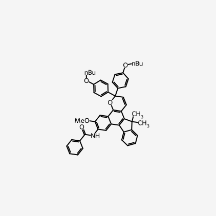 CCCCOc1ccc(C2(c3ccc(OCCCC)cc3)C=Cc3c4c(c5cc(NC(=O)c6ccccc6)c(OC)cc5c3O2)-c2ccccc2C4(C)C)cc1